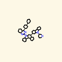 c1ccc(-c2ccc(-c3nc(-n4c5ccccc5c5c6ccccc6c(-c6ccc7c8ccccc8n(-c8cccnc8)c7c6)cc54)nc4ccccc34)cc2)cc1